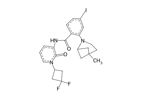 CC12CCN(c3cc(I)ccc3C(=O)Nc3cccn(C4CC(F)(F)C4)c3=O)C(C1)C2